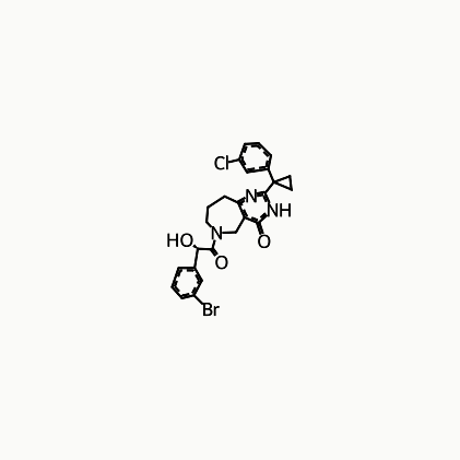 O=C([C@H](O)c1cccc(Br)c1)N1CCCc2nc(C3(c4cccc(Cl)c4)CC3)[nH]c(=O)c2C1